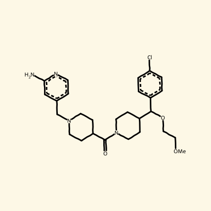 COCCOC(c1ccc(Cl)cc1)C1CCN(C(=O)C2CCN(Cc3ccnc(N)c3)CC2)CC1